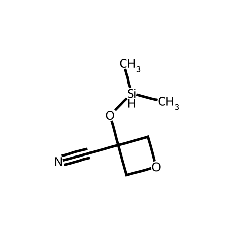 C[SiH](C)OC1(C#N)COC1